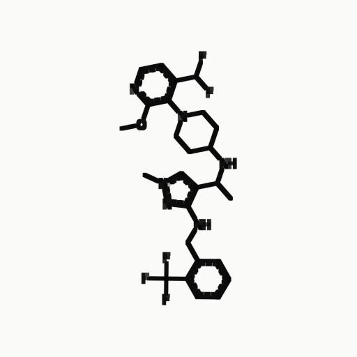 COc1nccc(C(F)F)c1N1CCC(NC(C)c2cn(C)nc2NCc2ccccc2C(F)(F)F)CC1